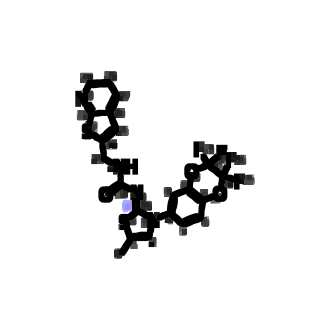 Cc1cn(-c2ccc3c(c2)OC(F)(F)C(F)(F)O3)/c(=N/C(=O)NCc2cc3cccnc3s2)s1